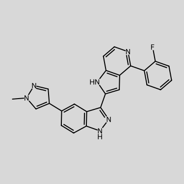 Cn1cc(-c2ccc3[nH]nc(-c4cc5c(-c6ccccc6F)nccc5[nH]4)c3c2)cn1